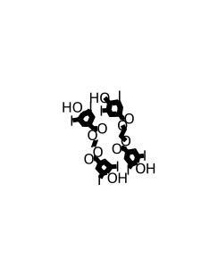 O=C(OCCOC(=O)c1cc(I)c(O)c(I)c1)c1cc(I)c(O)c(I)c1.O=C(OCCOC(=O)c1cc(I)c(O)c(I)c1)c1cc(I)c(O)c(I)c1